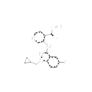 COC(=O)c1ccncc1Nc1nn(CC2CC2)c2ccc(F)cc12